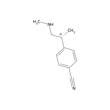 CNC[C@H](C)c1ccc(C#N)cc1